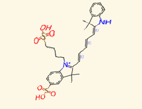 CC1(C)C(/C=C/C=C/C=C2/Nc3ccccc3C2(C)C)=[N+](CCCCS(=O)(=O)O)c2ccc(S(=O)(=O)O)cc21